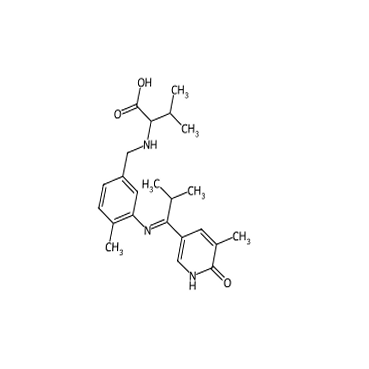 Cc1ccc(CNC(C(=O)O)C(C)C)cc1/N=C(/c1c[nH]c(=O)c(C)c1)C(C)C